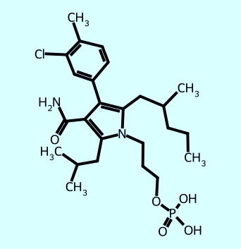 CCCC(C)Cc1c(-c2ccc(C)c(Cl)c2)c(C(N)=O)c(CC(C)C)n1CCCOP(=O)(O)O